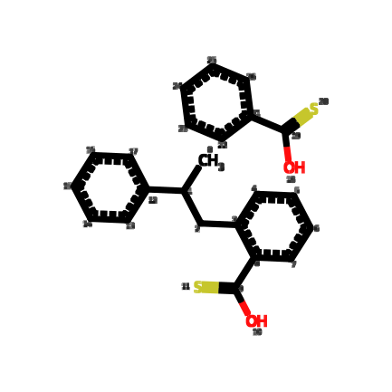 CC(Cc1ccccc1C(O)=S)c1ccccc1.OC(=S)c1ccccc1